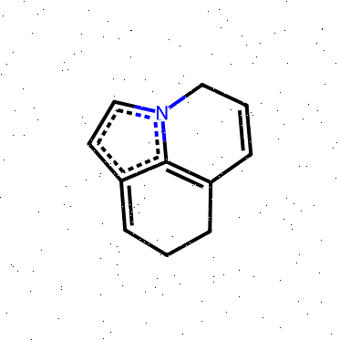 C1=CC2=c3c(ccn3C1)=CCC2